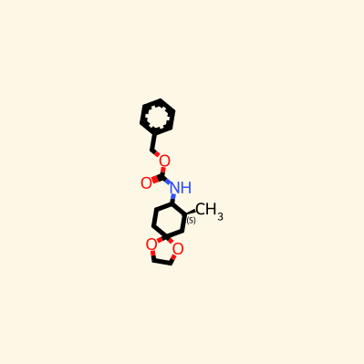 C[C@H]1CC2(CCC1NC(=O)OCc1ccccc1)OCCO2